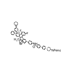 CCCCC[C@H]1CC[C@H](c2ccc(-c3ccc(C(=O)Nc4ccc(-c5cc(Br)c6c(c5)-c5c(c7c(c8c(F)cc(F)cc58)OC(c5ccccc5)(c5ccc(N8CCCCC8)cc5)C=C7)C6(C)C)cc4)cc3)cc2)CC1